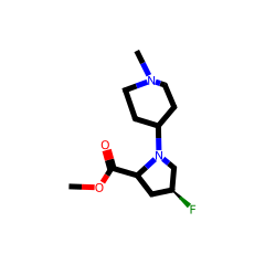 COC(=O)C1C[C@H](F)CN1C1CCN(C)CC1